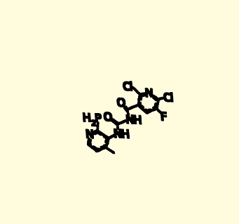 Cc1ccnc(P)c1NC(=O)NC(=O)c1cc(F)c(Cl)nc1Cl